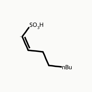 CCCCCC/C=[C]\S(=O)(=O)O